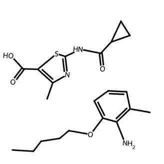 CCCCCOc1cccc(C)c1N.Cc1nc(NC(=O)C2CC2)sc1C(=O)O